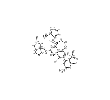 Cc1nc(N)nc(-c2nc3c4c(nc(OC[C@@]56CCCN5C[C@H](F)C6)nc4c2F)N([C@H](C)c2cccnc2N)CCO3)c1C(F)(F)F